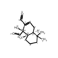 CC1(C)CCC[C@@]2(C)[C@H]1CC=C(C=O)[C@@]2(O)C=O